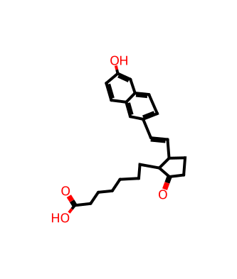 O=C(O)CCCCCCC1C(=O)CCC1/C=C/c1ccc2cc(O)ccc2c1